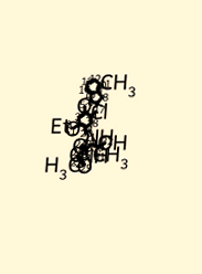 CCOc1cc(O[C@H]2CCc3c(C)cccc32)c(Cl)cc1CN[C@H](C(=O)NS(C)(=O)=O)[C@@H](C)O